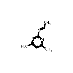 CC=Nc1nc(C)cc(C)n1